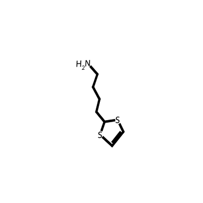 NCCCCC1SC=CS1